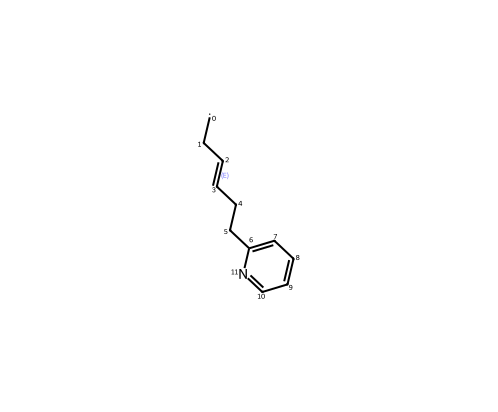 [CH2]C/C=C/CCc1ccccn1